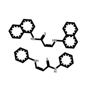 S=C(/C=C\Nc1cccc2ccccc12)Nc1cccc2ccccc12.S=C(/C=C\Nc1ccccc1)Nc1ccccc1